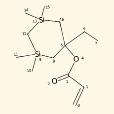 C=CC(=O)OC1(CC)C[Si](C)(C)C[Si](C)(C)C1